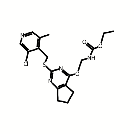 CCOC(=O)NCOc1nc(SCc2c(C)cncc2Cl)nc2c1CCC2